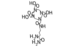 NC(=O)C(N)CCCCNC(=O)CN1CCN(CC(=O)O)CCN(CC(=O)O)CCN(CC(=O)O)CC1